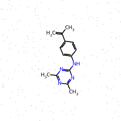 C=C(C)c1ccc(Nc2nc(C)nc(C)n2)cc1